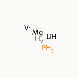 P.[LiH].[MgH2].[V]